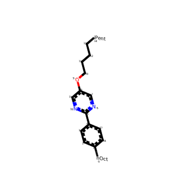 CCCCCCCCc1ccc(-c2ncc(OCCCCC(C)CCC)cn2)cc1